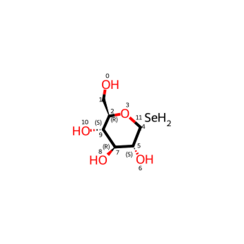 OC[C@H]1O[CH][C@H](O)[C@@H](O)[C@@H]1O.[SeH2]